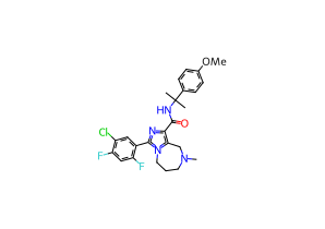 COc1ccc(C(C)(C)NC(=O)c2nc(-c3cc(Cl)c(F)cc3F)n3c2CN(C)CCC3)cc1